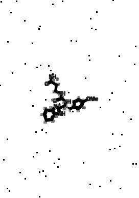 COc1ccc(C[C@@H](NC(=O)NCCC(N)=O)c2nc3ccccc3[nH]2)cc1